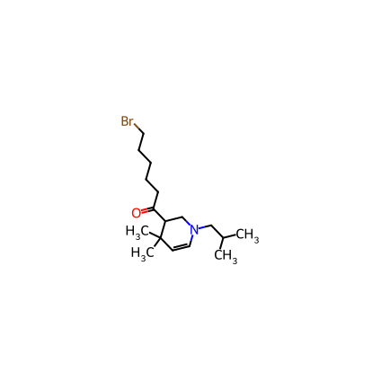 CC(C)CN1C=CC(C)(C)C(C(=O)CCCCCBr)C1